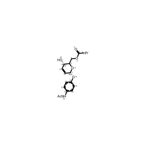 CCCC(=O)OCC1O[C@H](Oc2ccc(NC(C)=O)cc2)C=C[C@@H]1O